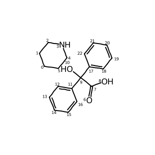 C1CCNCC1.O=C(O)C(O)(c1ccccc1)c1ccccc1